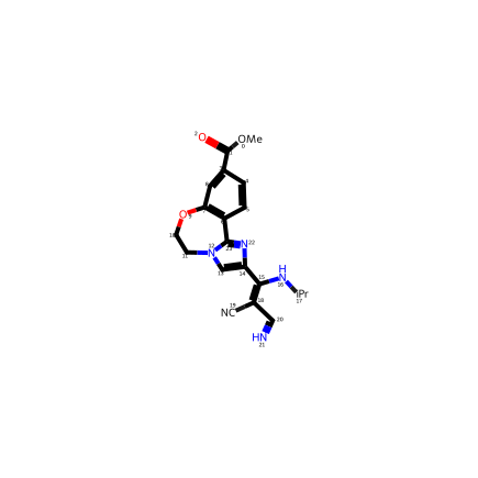 COC(=O)c1ccc2c(c1)OCCn1cc(/C(NC(C)C)=C(\C#N)C=N)nc1-2